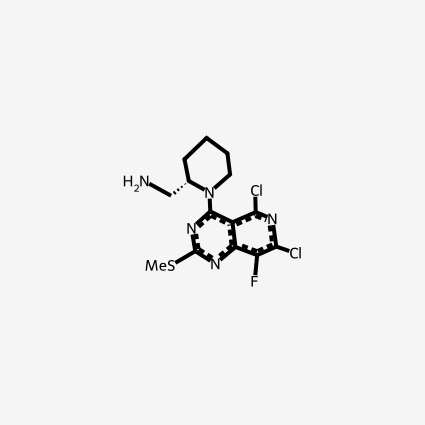 CSc1nc(N2CCCC[C@H]2CN)c2c(Cl)nc(Cl)c(F)c2n1